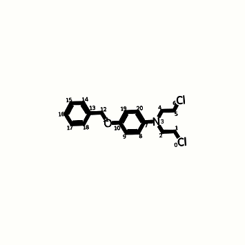 ClCCN(CCCl)c1ccc(OCc2ccccc2)cc1